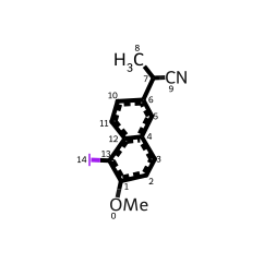 COc1ccc2cc(C(C)C#N)ccc2c1I